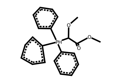 COC(=O)C(OC)[PH](c1ccccc1)(c1ccccc1)c1ccccc1